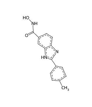 Cc1ccc(-c2nc3ccc(C(=O)NO)cc3[nH]2)cc1